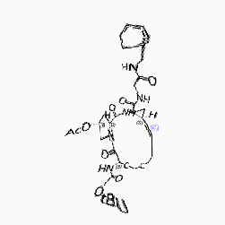 CC(=O)O[C@@H]1C[C@H]2C(=O)N[C@]3(C(=O)NCC(=O)NCc4ccccc4)C[C@H]3/C=C\CCCCC[C@H](NC(=O)OC(C)(C)C)C(=O)N2C1